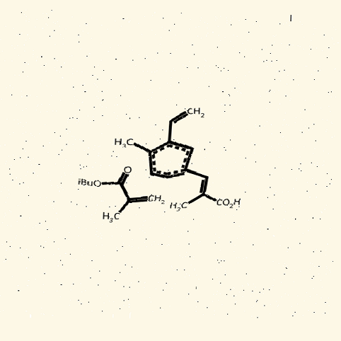 C=C(C)C(=O)OCC(C)C.C=Cc1cc(C=C(C)C(=O)O)ccc1C